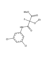 CCOC(F)(C(=O)Nc1cc(Cl)cc(Cl)c1)C(=O)OC